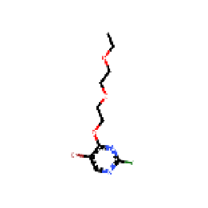 CCOCCOCCOc1nc(Cl)ncc1Br